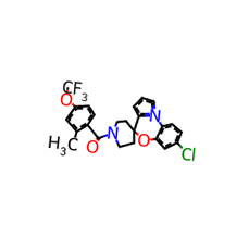 Cc1cc(OC(F)(F)F)ccc1C(=O)N1CCC2(CC1)Oc1cc(Cl)ccc1-n1cccc12